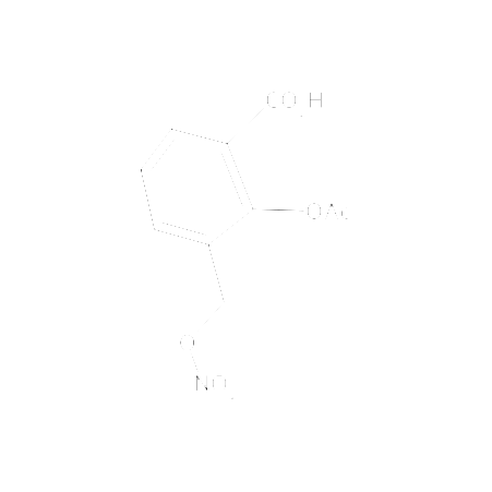 CC(=O)Oc1c(CO[N+](=O)[O-])cccc1C(=O)O